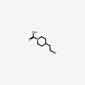 OC(=S)N1CCC(CCBr)CC1